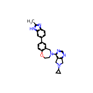 Cc1nc2ccc(-c3ccc4c(c3)CN(c3ncnc5c3CN(C3CC3)C5)CCO4)cc2[nH]1